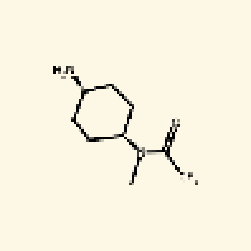 CN(C(=O)C(F)(F)F)[C@H]1CC[C@@H](N)CC1